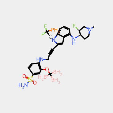 BC(B)(B)Oc1cc(S(N)(=O)=O)ccc1NCC#Cc1cc2c(N[C@@H]3CCN(C)C[C@@H]3F)cccc2n1CC(F)(F)P